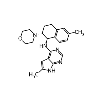 Cc1ccc2c(c1)CC[C@@H](N1CCOCC1)[C@@H]2Nc1ncnc2[nH]c(C)cc12